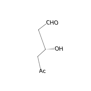 CC(=O)C[C@@H](O)CC=O